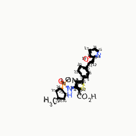 CO[P@@](=O)(Nc1cc(-c2ccc(-c3cc4ncccc4o3)cc2)sc1C(=O)O)C1CCC(C)CC1